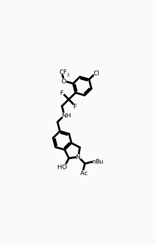 CCCCC(C(C)=O)N1Cc2cc(CNCC(F)(F)c3ccc(Cl)cc3OC(F)(F)F)ccc2C1O